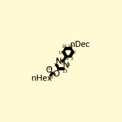 CCCCCCCCCCc1ccc(-c2ncc(OC(=O)CCCCCC)cn2)cc1